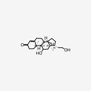 C[C@]12CC(O)[C@H]3[C@@H](CCC4=CC(=O)CC[C@@]43C)[C@@H]1CC[C@@H]2CCO